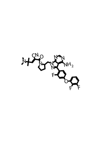 CN(C)C(C)(C)C=C(C#N)C(=O)N1CCCC1Cn1nc(-c2ccc(Oc3cccc(F)c3F)cc2F)c2c(N)ncnc21